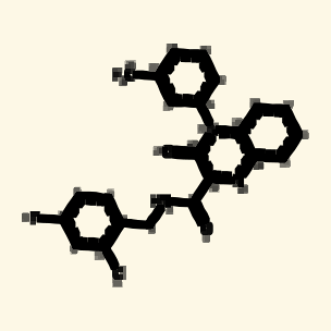 O=C(NCc1ccc(F)cc1Cl)c1nc2ccccc2n(-c2cccc(C(F)(F)F)c2)c1=O